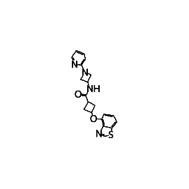 O=C(NC1CN(c2ccccn2)C1)C1CC(Oc2cccc3scnc23)C1